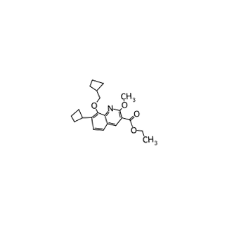 CCOC(=O)c1cc2ccc(C3CCC3)c(OCC3CCC3)c2nc1OC